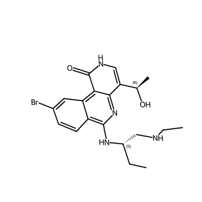 CCNC[C@H](CC)Nc1nc2c([C@@H](C)O)c[nH]c(=O)c2c2cc(Br)ccc12